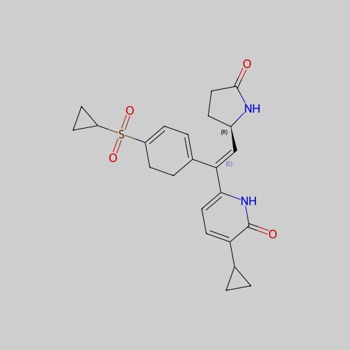 O=C1CC[C@H](/C=C(\C2=CC=C(S(=O)(=O)C3CC3)CC2)c2ccc(C3CC3)c(=O)[nH]2)N1